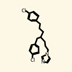 Clc1ccc(CCCC(CCCn2ccnc2)Cc2ccc(Cl)cc2)cc1